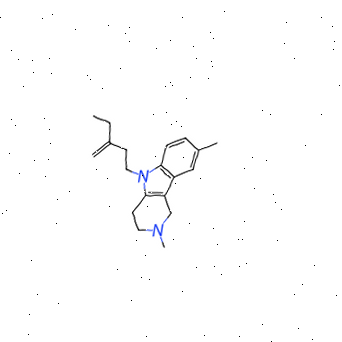 C=C(CC)CCn1c2c(c3cc(C)ccc31)CN(C)CC2